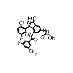 O=C(CO)Nc1cc(NC(=O)c2cc(F)cc(C(F)(F)F)c2)c2c(c1)C(=O)NC2c1cc(F)ccc1Cl